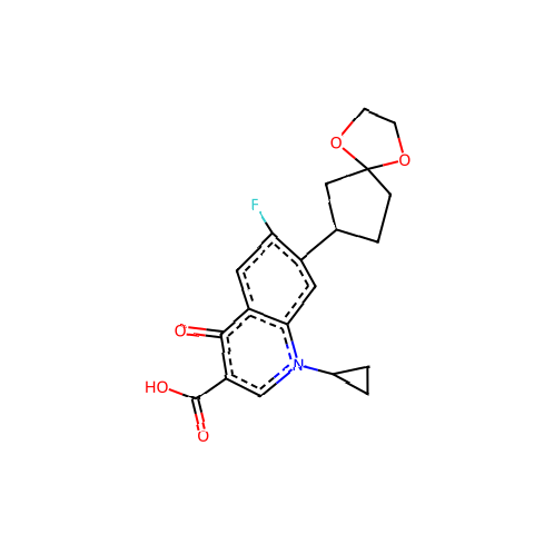 O=C(O)c1cn(C2CC2)c2cc(C3CCC4(C3)OCCO4)c(F)cc2c1=O